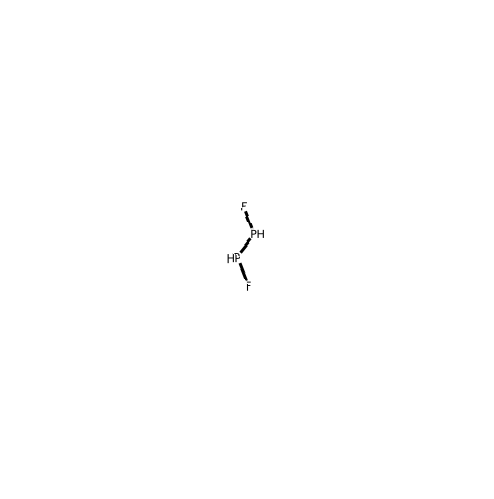 FPPF